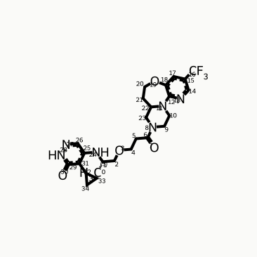 C[C@@H](COCCC(=O)N1CCN2c3ncc(C(F)(F)F)cc3OCCC2C1)Nc1cn[nH]c(=O)c1C1CC1